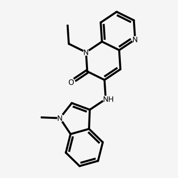 CCn1c(=O)c(Nc2cn(C)c3ccccc23)cc2ncccc21